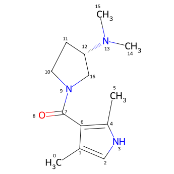 Cc1c[nH]c(C)c1C(=O)N1CC[C@H](N(C)C)C1